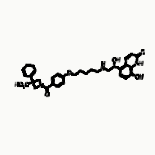 O=C(c1ccc(OCCCCCNCC(O)c2ccc(O)c3[nH]c(=O)ccc23)cc1)N1CC(C(=O)O)(c2ccccc2)C1